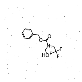 O=C(OCc1ccccc1)N(CO)CC(F)(F)F